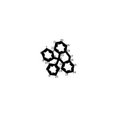 c1ccc(C2(c3ccccc3)c3ccccc3Cc3ccccc32)cc1